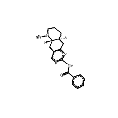 CCCN1CCC[C@H]2Cc3nc(NC(=O)c4ccccc4)ncc3C[C@@H]21